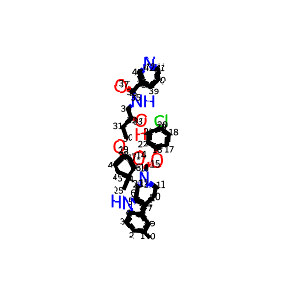 Cc1ccc2[nH]c3c(c2c1)CCN(C(=O)Oc1ccc(Cl)cc1)[C@H]3C1(C)C=CC(OCCC(O)CNC(=O)c2cccnc2)=CC1